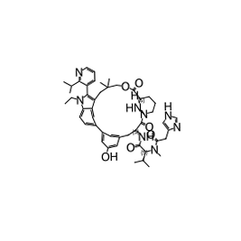 CCn1c(-c2cccnc2C(C)C)c2c3cc(ccc31)-c1cc(O)cc(c1)C[C@H](NC(=O)[C@H](C(C)C)N(C)C(=O)Cc1c[nH]cn1)C(=O)N1CCC[C@H](N1)C(=O)OCC(C)(C)C2